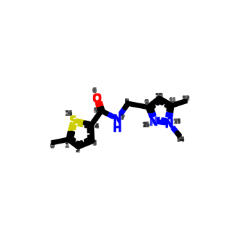 Cc1ccc(C(=O)NCc2cc(C)n(C)n2)s1